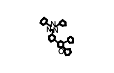 c1ccc(-c2nc(-c3ccccc3)nc(-c3cccc(-c4cc(-c5ccccc5)c5c(c4)oc4ccccc45)c3)n2)cc1